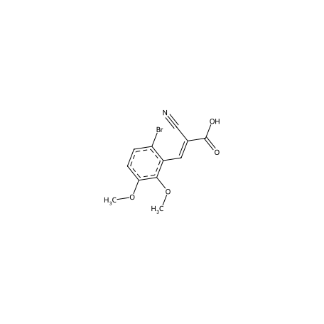 COc1ccc(Br)c(C=C(C#N)C(=O)O)c1OC